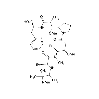 CC[C@H](C)[C@@H]([C@@H](CC(=O)N1CCC[C@H]1[C@H](OC)[C@@H](C)C(=O)N[C@@H](Cc1ccccc1)C(=O)O)OC)N(C)C(=O)[C@@H](NC(C)C(C)(C)NC)C(C)C